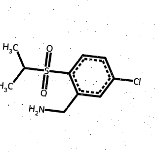 CC(C)S(=O)(=O)c1ccc(Cl)cc1CN